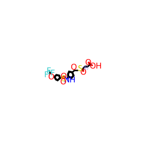 O=C(O)/C=C/C(=O)SCC(=O)c1ccc(NS(=O)(=O)c2ccc(OC(F)(F)F)cc2)cc1